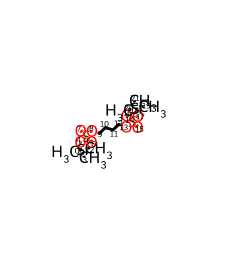 C[Si](C)(C)OS(=O)(=O)OCCCCOS(=O)(=O)O[Si](C)(C)C